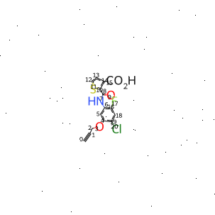 C#CCOc1cc(NC(=O)c2sccc2C(=O)O)c(F)cc1Cl